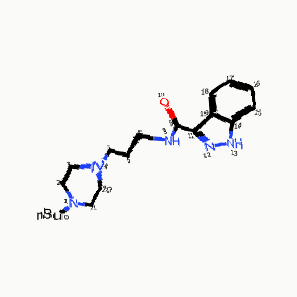 CCCCN1CCN(CCCNC(=O)c2n[nH]c3ccccc23)CC1